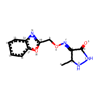 CC1NNC(=O)C1=NOCc1nc2ccccc2o1